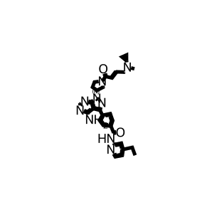 CCc1ccnc(NC(=O)c2ccc(-c3nn([C@@H]4CCN(C(=O)C=CCN(C)C5CC5)C4)c4ncnc(N)c34)cc2)c1